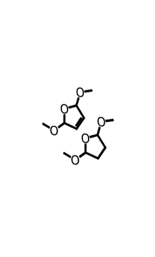 COC1C=CC(OC)O1.COC1CCC(OC)O1